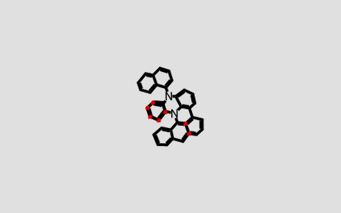 c1ccc(-c2cccc(N(c3ccccc3)c3cccc4ccccc34)c2N(c2ccccc2)c2cccc3ccccc23)cc1